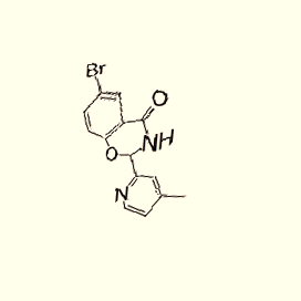 Cc1ccnc(C2NC(=O)c3cc(Br)ccc3O2)c1